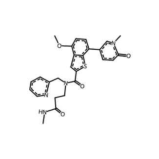 CNC(=O)CCN(Cc1ccccn1)C(=O)c1cc2c(OC)ccc(-c3ccc(=O)n(C)c3)c2s1